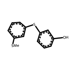 CSc1cccc(Sc2cccc(O)c2)c1